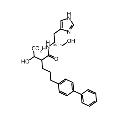 O=C(O)C(O)C(CCCc1ccc(-c2ccccc2)cc1)C(=O)N[C@@H](CO)Cc1c[nH]cn1